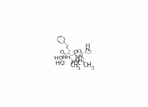 CC(C)C[C@@H](C(=O)NN(CC(C)C)C(=O)C1CCN1)[C@H](CC=Cc1ccccc1)C(=O)NO.Cl